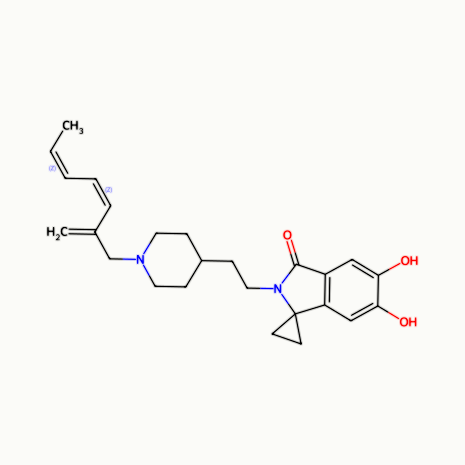 C=C(/C=C\C=C/C)CN1CCC(CCN2C(=O)c3cc(O)c(O)cc3C23CC3)CC1